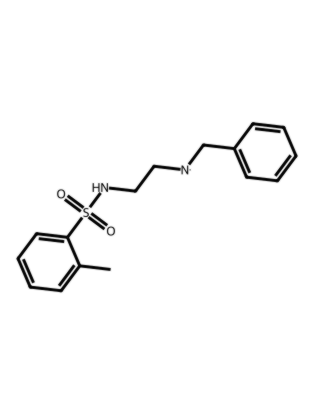 Cc1ccccc1S(=O)(=O)NCC[N]Cc1ccccc1